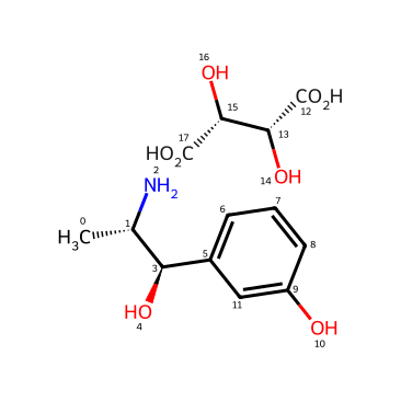 C[C@H](N)[C@H](O)c1cccc(O)c1.O=C(O)[C@H](O)[C@@H](O)C(=O)O